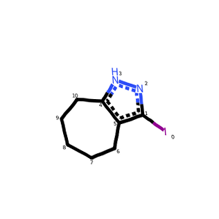 Ic1n[nH]c2c1CCCCC2